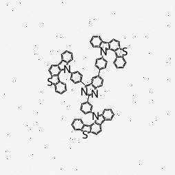 c1cc(-c2nc(-c3ccc(-n4c5ccccc5c5ccc6sc7ccccc7c6c54)cc3)c3cc(-c4ccc(-n5c6ccccc6c6ccc7sc8ccccc8c7c65)cc4)ccc3n2)cc(-n2c3ccccc3c3ccc4sc5ccccc5c4c32)c1